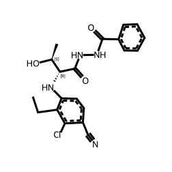 CCc1c(N[C@@H](C(=O)NNC(=O)c2ccccc2)[C@H](C)O)ccc(C#N)c1Cl